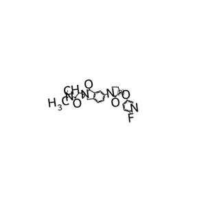 CN(C)C(=O)CN1Cc2ccc(N3CC[C@@H](Oc4ccc(F)nc4)C3=O)cc2C1=O